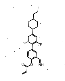 C=CC(=O)Oc1ccc(-c2c(F)cc(C3CCC(CCC)CC3)cc2F)cc1C=N